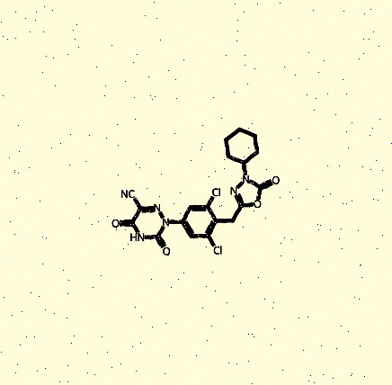 N#Cc1nn(-c2cc(Cl)c(Cc3nn(C4CCCCC4)c(=O)o3)c(Cl)c2)c(=O)[nH]c1=O